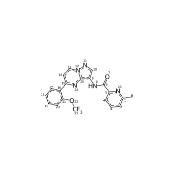 Cc1cccc(C(=O)Nc2cnn3ccc(-c4ccccc4OC(F)(F)F)nc23)n1